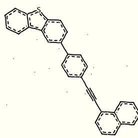 C(#Cc1cccc2ccccc12)c1ccc(-c2ccc3sc4ccccc4c3c2)cc1